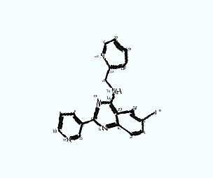 Ic1ccc2nc(-c3cccnc3)nc(NCc3ccccn3)c2c1